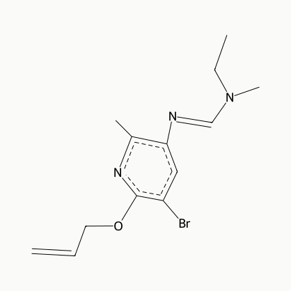 C=CCOc1nc(C)c(/N=C/N(C)CC)cc1Br